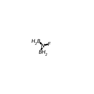 BN(B)F